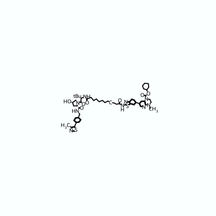 Cc1ncsc1-c1ccc(CNC(=O)[C@@H]2C[C@@H](O)CN2C(=O)[C@@H](NC(=O)CCCCCCCCCCC(=O)Nc2nc3ccc(-c4cnc5c(c4)N(C(=O)OC4CCCCC4)CCN5C)cc3s2)C(C)(C)C)cc1